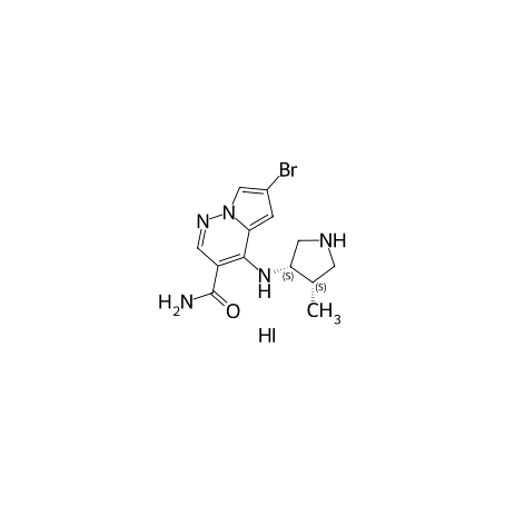 C[C@H]1CNC[C@H]1Nc1c(C(N)=O)cnn2cc(Br)cc12.I